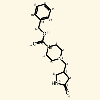 O=C1CC(CN2CCN(C(=O)OCc3ccccc3)CC2)CN1